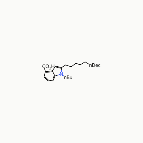 CCCCCCCCCCCCCCCc1cc2c(C(=O)O)cccc2n1CCCC